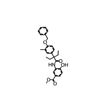 CCC(CC)(C(=O)Nc1cc(C(=O)OC)ccc1O)c1ccc(OCc2ccccc2)c(C)c1